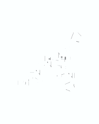 CC(C)(C)OC(=O)NCC(=O)N1C[C@H](OC(=O)Nc2ccccc2)[C@@H]2[C@H]1CCN2C(=O)OCc1ccccc1